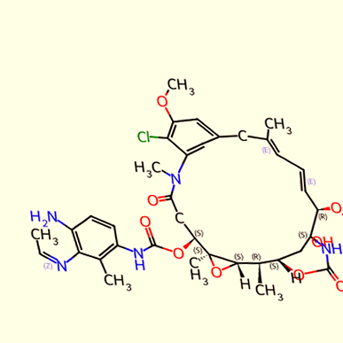 C/C=N\c1c(N)ccc(NC(=O)O[C@H]2CC(=O)N(C)c3cc(cc(OC)c3Cl)C/C(C)=C/C=C/[C@@H](OC)[C@@]3(O)C[C@H](OC(=O)N3)[C@@H](C)[C@@H]3O[C@@]23C)c1C